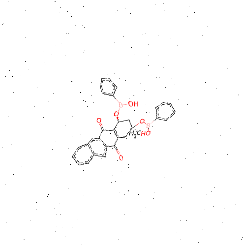 C[C@]1(OB(O)c2ccccc2)CC2=C(C(=O)c3cc4ccccc4cc3C2=O)[C@@H](OB(O)c2ccccc2)C1